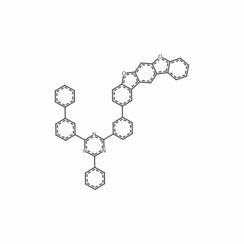 c1ccc(-c2cccc(-c3nc(-c4ccccc4)nc(-c4cccc(-c5ccc6oc7cc8oc9ccccc9c8cc7c6c5)c4)n3)c2)cc1